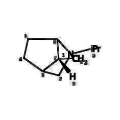 CC(C)N1CC2CCC1[C@@H]2C